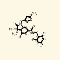 Cc1cc(CN2C(=O)C(C)(C)c3c(I)cc(C(=O)NCc4c(F)cc(F)cc4F)cc32)no1